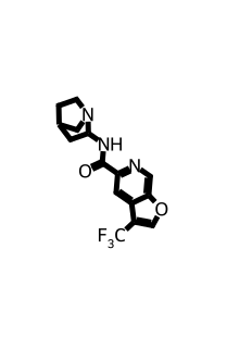 O=C(NC1CC2CCN1C2)c1cc2c(C(F)(F)F)coc2cn1